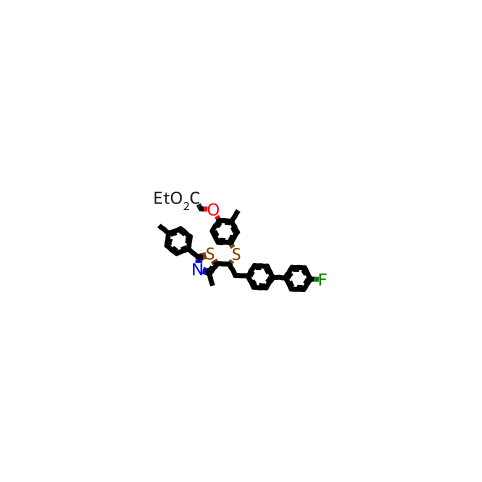 CCOC(=O)COc1ccc(SC(Cc2ccc(-c3ccc(F)cc3)cc2)c2sc(-c3ccc(C)cc3)nc2C)cc1C